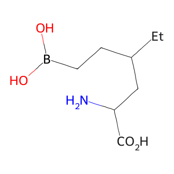 CCC(CCB(O)O)CC(N)C(=O)O